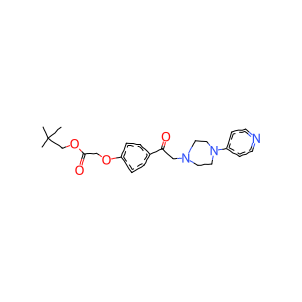 CC(C)(C)COC(=O)COc1ccc(C(=O)CN2CCN(c3ccncc3)CC2)cc1